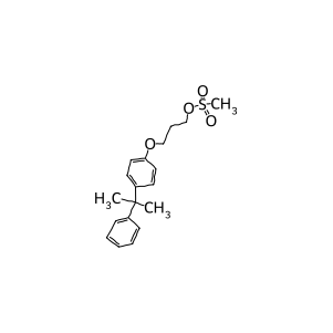 CC(C)(c1ccccc1)c1ccc(OCCCOS(C)(=O)=O)cc1